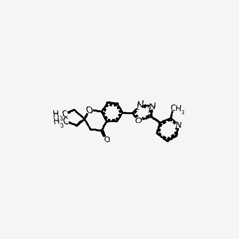 CCC1(CC)CC(=O)c2cc(-c3nnc(-c4cccnc4C)o3)ccc2O1